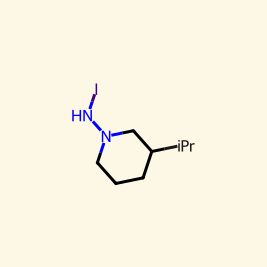 CC(C)C1CCCN(NI)C1